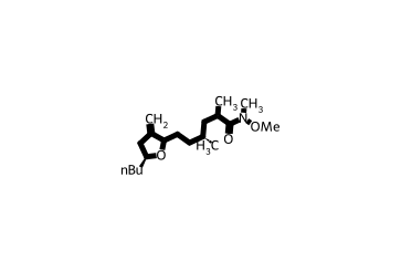 C=C1C[C@H](CCCC)OC1CC[C@@H](C)CC(C)C(=O)N(C)OC